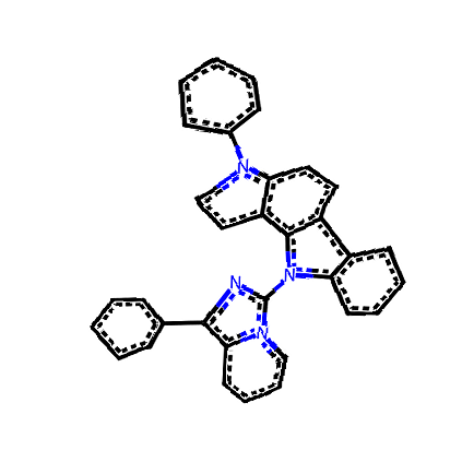 c1ccc(-c2nc(-n3c4ccccc4c4ccc5c(ccn5-c5ccccc5)c43)n3ccccc23)cc1